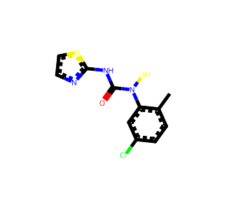 Cc1ccc(Cl)cc1N(S)C(=O)Nc1nccs1